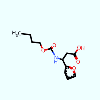 CCCCOC(=O)NC(CC(=O)O)c1ccco1